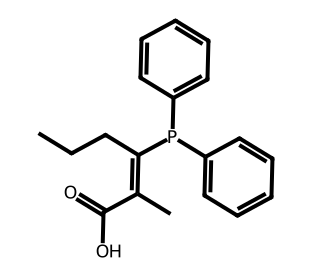 CCCC(=C(C)C(=O)O)P(c1ccccc1)c1ccccc1